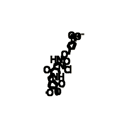 COc1cc2cc(C(=O)C3C=C(NC(=O)OCc4ccc([N+](=O)[O-])cc4)N(CCl)C3C)[nH]c2c(OC)c1OC